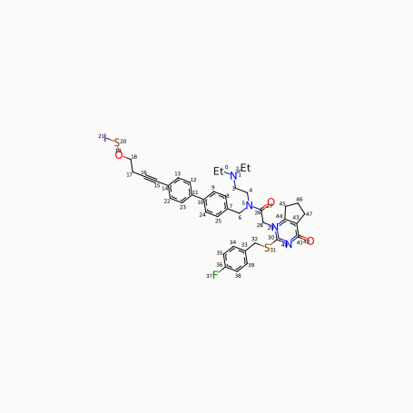 CCN(CC)CCN(Cc1ccc(-c2ccc(C#CCCOSI)cc2)cc1)C(=O)Cn1c(SCc2ccc(F)cc2)nc(=O)c2c1CCC2